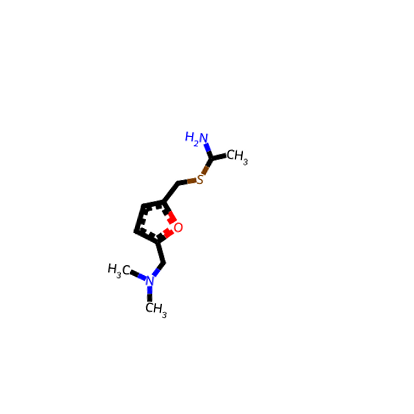 CC(N)SCc1ccc(CN(C)C)o1